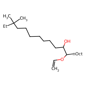 C=COC(CCCCCCCC)C(O)CCCCCCCC(C)(C)CC